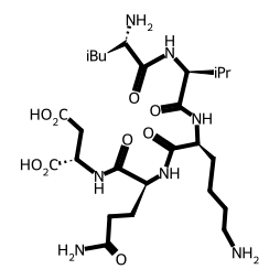 CC[C@H](C)[C@H](N)C(=O)N[C@H](C(=O)N[C@@H](CCCCN)C(=O)N[C@@H](CCC(N)=O)C(=O)N[C@@H](CC(=O)O)C(=O)O)C(C)C